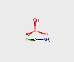 OB(O)O.[NH2][Zn][F]